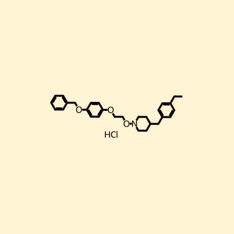 CCc1ccc(CC2CCN(OCCOc3ccc(OCc4ccccc4)cc3)CC2)cc1.Cl